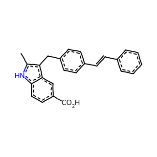 Cc1[nH]c2ccc(C(=O)O)cc2c1Cc1ccc(/C=C/c2ccccc2)cc1